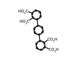 O=C(O)c1cccc(-c2ccc(-c3cccc(C(=O)O)c3C(=O)O)cc2)c1C(=O)O